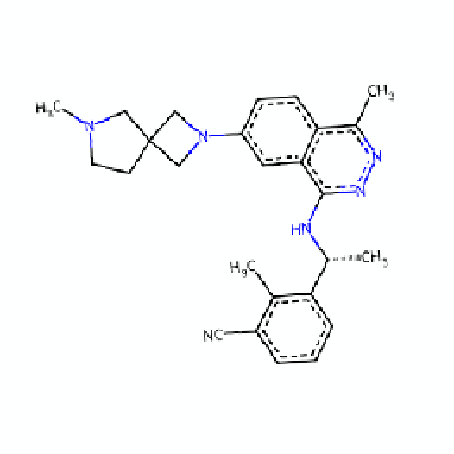 Cc1c(C#N)cccc1[C@@H](C)Nc1nnc(C)c2ccc(N3CC4(CCN(C)C4)C3)cc12